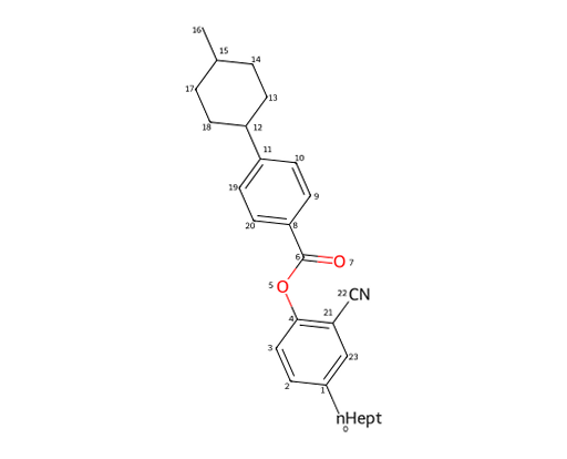 CCCCCCCc1ccc(OC(=O)c2ccc(C3CCC(C)CC3)cc2)c(C#N)c1